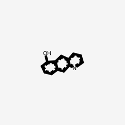 Oc1cccc2cc3ncccc3cc12